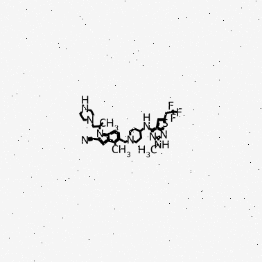 CNc1nc(NC2CCN(Cc3ccc4c(cc(C#N)n4C(C)CN4CCNCC4)c3C)CC2)c2cc(CC(F)(F)F)sc2n1